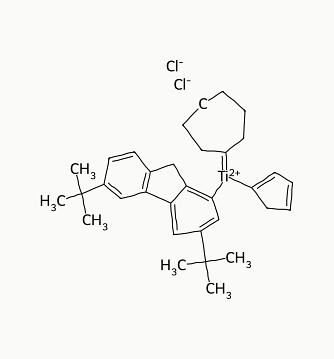 CC(C)(C)c1ccc2c(c1)-c1cc(C(C)(C)C)c[c]([Ti+2]([C]3=CC=CC3)=[C]3CCCCCC3)c1C2.[Cl-].[Cl-]